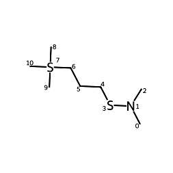 CN(C)SCCCS(C)(C)C